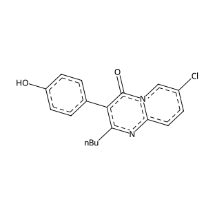 CCCCc1nc2ccc(Cl)cn2c(=O)c1-c1ccc(O)cc1